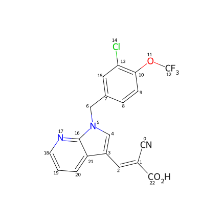 N#C/C(=C\c1cn(Cc2ccc(OC(F)(F)F)c(Cl)c2)c2ncccc12)C(=O)O